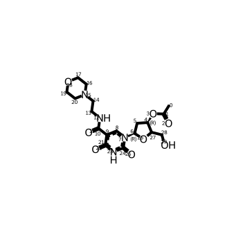 CC(=O)O[C@@H]1C[C@H](n2cc(C(=O)NCCN3CCOCC3)c(=O)[nH]c2=O)OC1CO